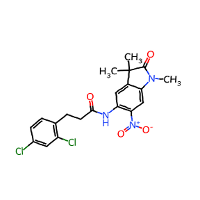 CN1C(=O)C(C)(C)c2cc(NC(=O)CCc3ccc(Cl)cc3Cl)c([N+](=O)[O-])cc21